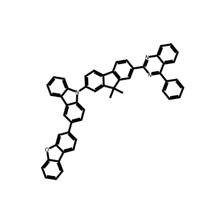 CC1(C)c2cc(-c3nc(-c4ccccc4)c4ccccc4n3)ccc2-c2ccc(-n3c4ccccc4c4cc(-c5ccc6c(c5)oc5ccccc56)ccc43)cc21